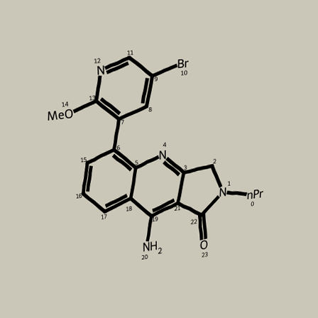 CCCN1Cc2nc3c(-c4cc(Br)cnc4OC)cccc3c(N)c2C1=O